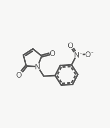 O=C1C=CC(=O)N1Cc1cccc([N+](=O)[O-])c1